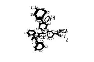 CC[N+]1(C(CCC(C)(c2ccccc2)c2ccccc2)N2CCC(O)(c3ccc(Cl)cc3)CC2)CCC(C(N)=O)CC1.Cl.Cl